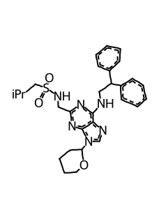 CC(C)CS(=O)(=O)NCc1nc(NCC(c2ccccc2)c2ccccc2)c2ncn(C3CCCCO3)c2n1